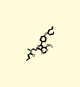 C=C/C=C(\C=C/C)Oc1ccc(-c2nn(CCN(C)C(=O)/C=C/C)c3ncnc(N)c23)cc1